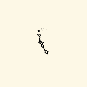 COC(=O)Oc1ccc(C(=O)Oc2ccc3c(c2)C(C)c2cc(OC(=O)c4ccc(OC(=O)O)cc4)ccc2-3)cc1